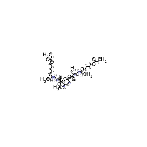 C=CC(=O)OCCCCO/C(C=C)=C/C=C(\C)C(=O)OC(=C)/C=C\C(=C\C)OC(=O)/C(=C/C=C(\C=C)OCCCCOC(=O)C=C)CC